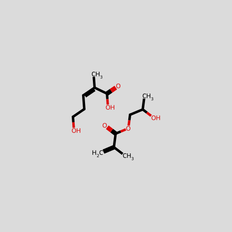 C=C(C)C(=O)OCC(C)O.CC(=CCCO)C(=O)O